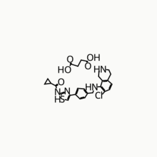 O=C(Nc1nc(-c2ccc(CNc3c(Cl)ccc4c3CCNCC4)cc2)cs1)C1CC1.O=C(O)CCC(=O)O